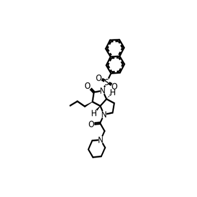 CCC[C@H]1C(=O)N(S(=O)(=O)c2ccc3ccccc3c2)[C@H]2CCN(C(=O)CN3CCCCC3)[C@H]12